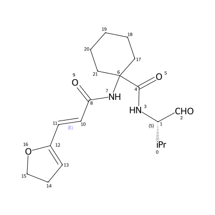 CC(C)[C@@H](C=O)NC(=O)C1(NC(=O)/C=C/C2=CCCO2)CCCCC1